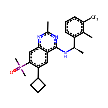 Cc1nc(N[C@H](C)c2cccc(C(F)(F)F)c2C)c2cc(C3CCC3)c(P(C)(C)=O)cc2n1